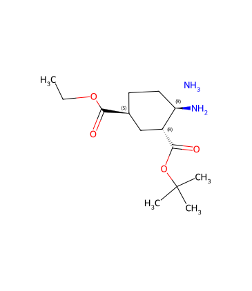 CCOC(=O)[C@H]1CC[C@@H](N)[C@H](C(=O)OC(C)(C)C)C1.N